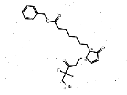 CC[C@H](C)CC(F)(F)C(=O)CC[C@H]1C=CC(=O)[C@@H]1CCCCCCC(=O)OCc1ccccc1